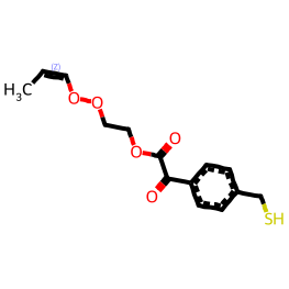 C/C=C\OOCCOC(=O)C(=O)c1ccc(CS)cc1